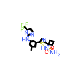 Cc1cc(Nc2nccc(C(F)(F)F)n2)cc(-c2cnc(C3(NS(N)(=O)=O)CCC3)s2)c1